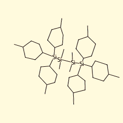 CC1CCC([Si](C2CCC(C)CC2)(C2CCC(C)CC2)[Si](C)(C)[Si](C)(C)[Si](C2CCC(C)CC2)(C2CCC(C)CC2)C2CCC(C)CC2)CC1